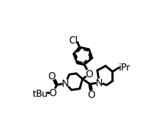 CC(C)C1CCN(C(=O)C2(Oc3ccc(Cl)cc3)CCN(C(=O)OC(C)(C)C)CC2)CC1